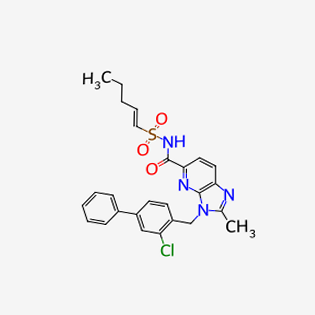 CCC/C=C/S(=O)(=O)NC(=O)c1ccc2nc(C)n(Cc3ccc(-c4ccccc4)cc3Cl)c2n1